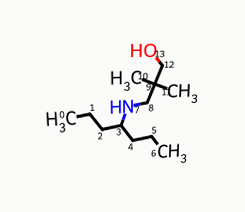 CCCC(CCC)NCC(C)(C)CO